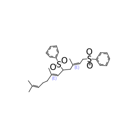 CC(C)=CCC/C(C)=C/C(C/C(C)=C/CS(=O)(=O)c1ccccc1)S(=O)(=O)c1ccccc1